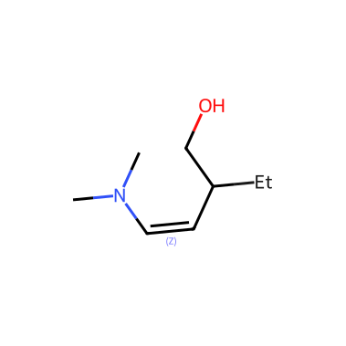 CCC(/C=C\N(C)C)CO